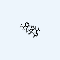 Cc1ccc([C@H](Nc2n[s+]([O-])nc2Nc2cccc(C(=O)N(C)C)c2O)C(C)C)o1